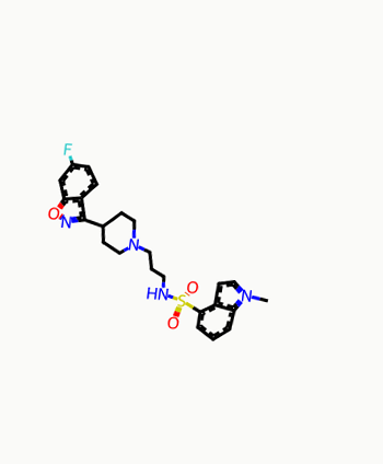 Cn1ccc2c(S(=O)(=O)NCCCN3CCC(c4noc5cc(F)ccc45)CC3)cccc21